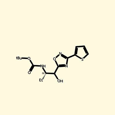 CC[C@H](NC(=O)OC(C)(C)C)C(O)c1nc(-c2cccs2)no1